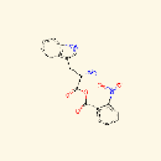 N[C@@H](Cc1c[nH]c2ccccc12)C(=O)OC(=O)c1ccccc1[N+](=O)[O-]